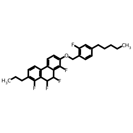 CCCCCc1ccc(COc2ccc3c(c2F)C(F)C(F)c2c-3ccc(CCC)c2F)c(F)c1